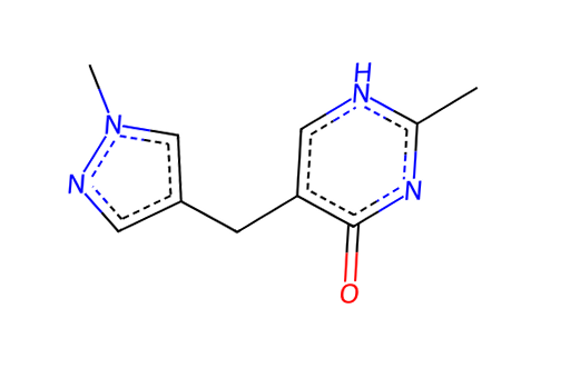 Cc1nc(=O)c(Cc2cnn(C)c2)c[nH]1